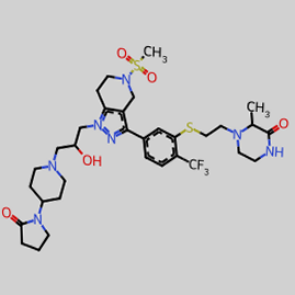 CC1C(=O)NCCN1CCSc1cc(-c2nn(CC(O)CN3CCC(N4CCCC4=O)CC3)c3c2CN(S(C)(=O)=O)CC3)ccc1C(F)(F)F